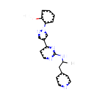 COc1ccccc1-n1cc(-c2ccnc(NC(C)Cc3ccncc3)n2)cn1